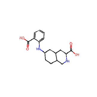 O=C(O)c1ccccc1NC1CCC2CNC(C(=O)O)CC2C1